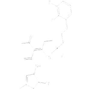 C=C(C)/C(C(=C)NC1=C(C(F)(F)F)CC(C)=C1)=C(/C#N)C(C)CC(C)(F)CCCc1cccc(F)c1F